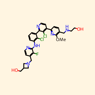 COc1nc(-c2ccnc(-c3cccc(Nc4nccc(CN5CC(CO)C5)c4F)c3Cl)c2Cl)ccc1CNCCO